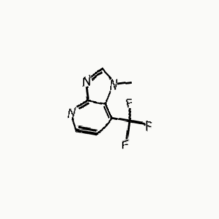 Cn1cnc2nccc(C(F)(F)F)c21